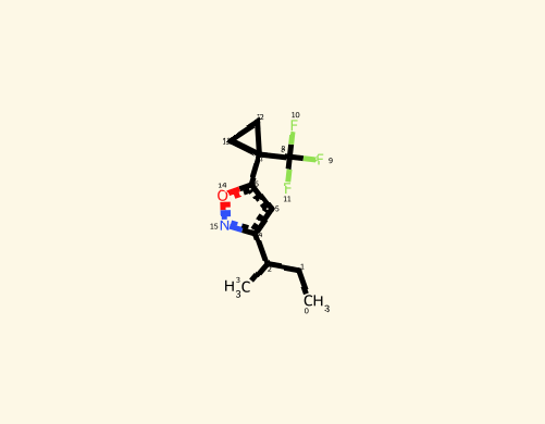 CCC(C)c1cc(C2(C(F)(F)F)CC2)on1